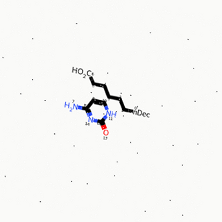 CCCCCCCCCCCCCCCC(=O)O.Nc1cc[nH]c(=O)n1